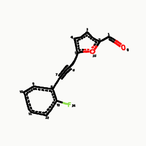 O=[C]c1ccc(C#Cc2ccccc2F)o1